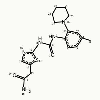 Cc1ccc(NC(=O)Nc2ncc(CC(N)=O)s2)c(N2CCCCC2)c1